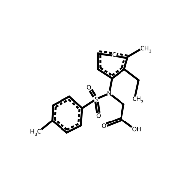 CCc1c(C)cccc1N(CC(=O)O)S(=O)(=O)c1ccc(C)cc1